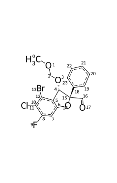 COCO[C@H]1c2c(cc(F)c(Cl)c2Br)O[C@]1(C=O)c1ccccc1